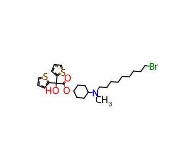 CN(CCCCCCCCCBr)[C@H]1CC[C@H](OC(=O)C(O)(c2cccs2)c2cccs2)CC1